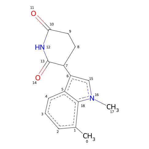 Cc1cccc2c(C3CCC(=O)NC3=O)cn(C)c12